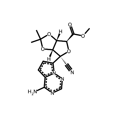 COC(=O)[C@H]1O[C@@](C#N)(c2ccc3c(N)ncnn23)[C@@H]2OC(C)(C)O[C@H]12